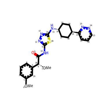 COc1cccc([C@@H](OC)C(=O)Nc2nnc(N[C@H]3CC[C@H](c4cccnn4)CC3)s2)c1